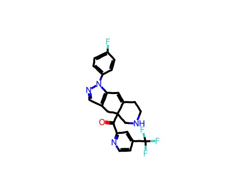 O=C(c1cc(C(F)(F)F)ccn1)C12CNCCC1=Cc1c(cnn1-c1ccc(F)cc1)C2